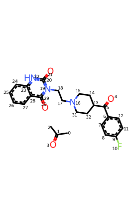 CC(C)=O.O=C(c1ccc(F)cc1)C1CCN(CCn2c(=O)[nH]c3ccccc3c2=O)CC1